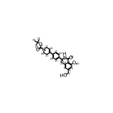 COc1cc(CO)cc2nc(-c3ccc(C4=CCN(C(=O)OC(C)(C)C)CC4)cc3)[nH]c(=O)c12